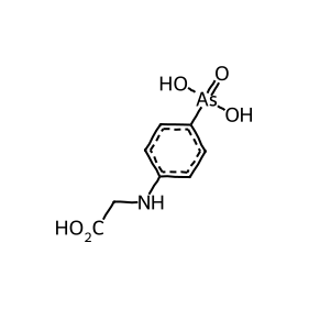 O=C(O)CNc1ccc([As](=O)(O)O)cc1